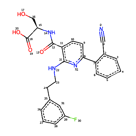 N#Cc1ccccc1-c1ccc(C(=O)N[C@H](CO)C(=O)O)c(NCCc2cccc(F)c2)n1